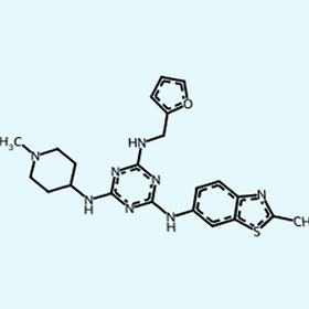 Cc1nc2ccc(Nc3nc(NCc4ccco4)nc(NC4CCN(C)CC4)n3)cc2s1